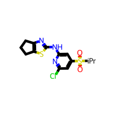 CC(C)S(=O)(=O)c1cc(Cl)nc(Nc2nc3c(s2)CCC3)c1